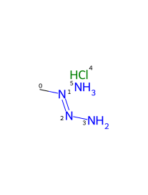 CN=NN.Cl.N